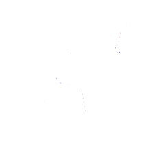 CC[N+](CC)(CC)CC.O=[N+]([O-])O.[OH-]